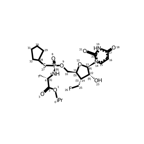 CC(C)OC(=O)[C@H](C)N[P@@](=O)(OC[C@H]1O[C@@H](n2ccc(=O)[nH]c2=O)[C@H](O)[C@@H]1CF)SC1CCCC1